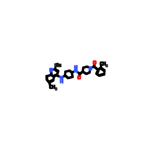 Cc1ccc2nc(C(C)(C)C)cc(NC3CCC(NC(=O)C4CCN(C(=O)c5ccccc5C)CC4)CC3)c2c1